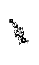 Cc1c(C(NC(=O)Nc2cnc(C3CCC3)nc2)C(C)C)oc2c(F)cc(F)cc12